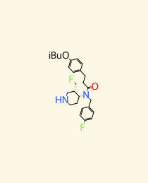 CC(C)COc1ccc(CCC(=O)N(Cc2ccc(F)cc2)[C@@H]2CCNC[C@@H]2CF)cc1